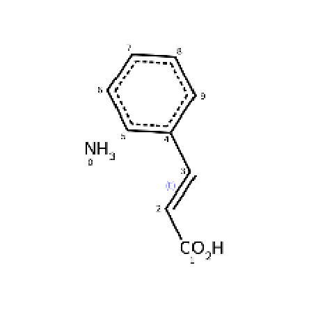 N.O=C(O)/C=C/c1ccccc1